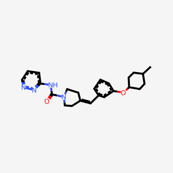 CC1CCC(Oc2cccc(C=C3CCN(C(=O)Nc4cccnn4)CC3)c2)CC1